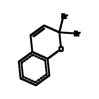 BrC1(Br)C=Cc2ccccc2O1